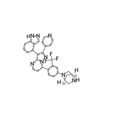 FC(F)(F)c1cc(N2C[C@@H]3C[C@H]2CN3)ccc1-c1ccnc2c(-c3cccc4[nH]ncc34)c(-c3ccncc3)nn12